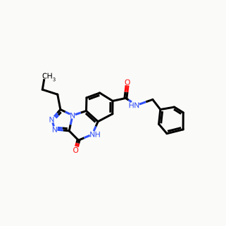 CCCc1nnc2c(=O)[nH]c3cc(C(=O)NCc4ccccc4)ccc3n12